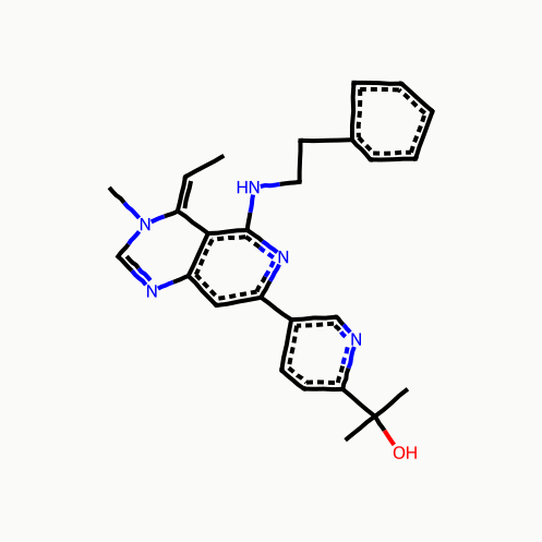 C/C=C1\c2c(cc(-c3ccc(C(C)(C)O)nc3)nc2NCCc2ccccc2)N=CN1C